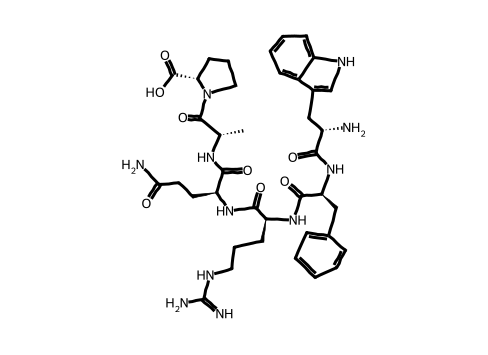 C[C@H](NC(=O)[C@H](CCC(N)=O)NC(=O)[C@H](CCCNC(=N)N)NC(=O)[C@H](Cc1ccccc1)NC(=O)[C@@H](N)Cc1c[nH]c2ccccc12)C(=O)N1CCC[C@H]1C(=O)O